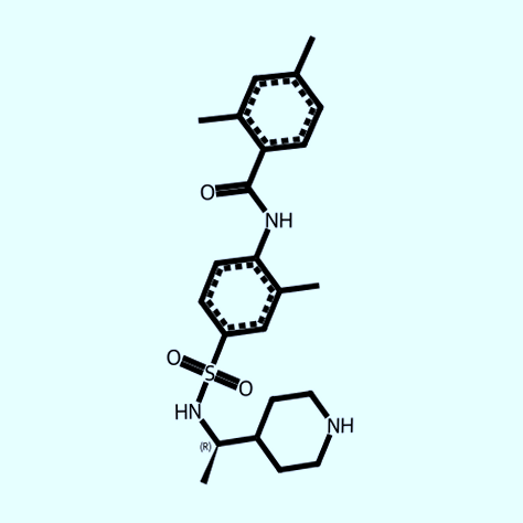 Cc1ccc(C(=O)Nc2ccc(S(=O)(=O)N[C@H](C)C3CCNCC3)cc2C)c(C)c1